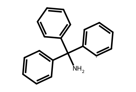 NC(c1[c]cccc1)(c1ccccc1)c1ccccc1